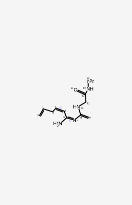 C=CC/C=C\C(N)=N/C(=C)NCC(=O)NCCC